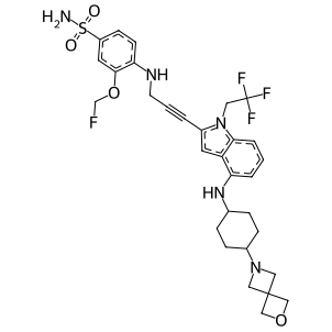 NS(=O)(=O)c1ccc(NCC#Cc2cc3c(NC4CCC(N5CC6(COC6)C5)CC4)cccc3n2CC(F)(F)F)c(OCF)c1